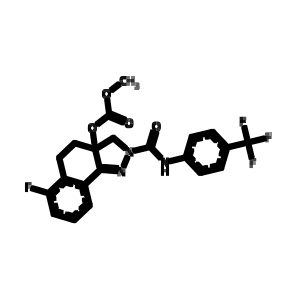 COC(=O)OC12CCc3c(F)cccc3C1=NN(C(=O)Nc1ccc(C(F)(F)F)cc1)C2